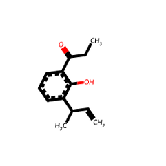 C=CC(C)c1cccc(C(=O)CC)c1O